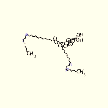 CCCCC/C=C\C/C=C\CCCCCCCCCCCC(=O)OC[C@H](COP(=O)(O)OC[C@@H](O)CO)OC(=O)CCCCCCC/C=C\C/C=C\CCCCC